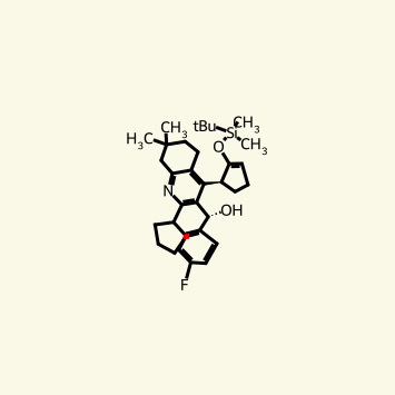 CC1(C)CCc2c(nc(C3CCCC3)c([C@H](O)c3ccc(F)cc3)c2[C@@H]2CCC=C2O[Si](C)(C)C(C)(C)C)C1